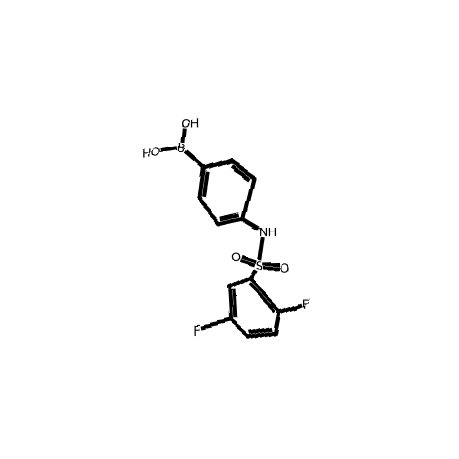 O=S(=O)(Nc1ccc(B(O)O)cc1)c1cc(F)ccc1F